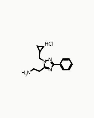 Cl.NCCc1nc(-c2ccccc2)nn1CC1CC1